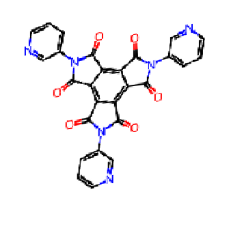 O=c1c2c3c(=O)n(-c4cccnc4)c(=O)c3c3c(=O)n(-c4cccnc4)c(=O)c3c2c(=O)n1-c1cccnc1